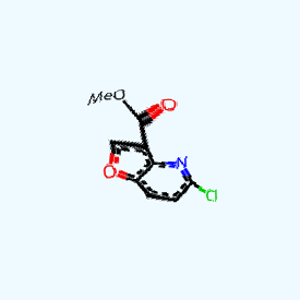 COC(=O)c1coc2ccc(Cl)nc12